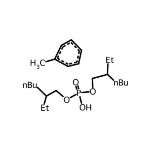 CCCCC(CC)COP(=O)(O)OCC(CC)CCCC.Cc1ccccc1